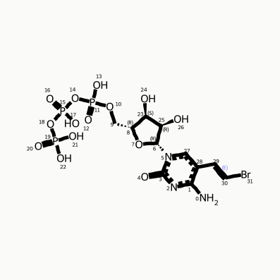 Nc1nc(=O)n([C@@H]2O[C@H](COP(=O)(O)OP(=O)(O)OP(=O)(O)O)[C@@H](O)[C@H]2O)cc1/C=C/Br